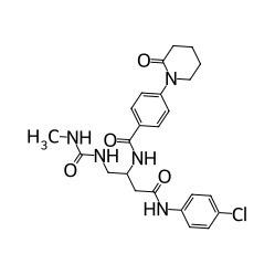 CNC(=O)NCC(CC(=O)Nc1ccc(Cl)cc1)NC(=O)c1ccc(N2CCCCC2=O)cc1